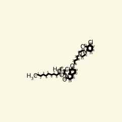 CCCCCCCCCC(=O)OC(C(C)C)n1c(=O)ccc2ccc(OCCCCN3CCN(c4cccc(Cl)c4Cl)CC3)cc21